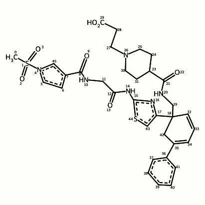 CS(=O)(=O)n1ccc(C(=O)NCC(=O)Nc2nc(C3(CNC(=O)C4CCN(CCC(=O)O)CC4)C=CC=C(c4ccccc4)C3)cs2)c1